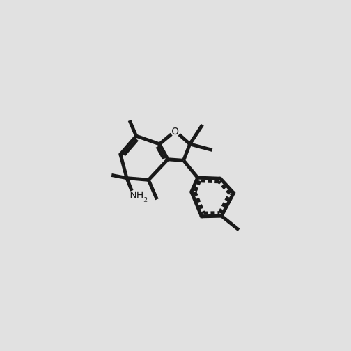 CC1=CC(C)(N)C(C)C2=C1OC(C)(C)C2c1ccc(C)cc1